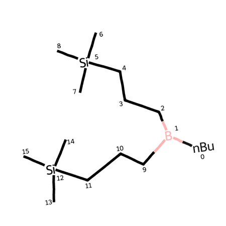 CCCCB(CCC[Si](C)(C)C)CCC[Si](C)(C)C